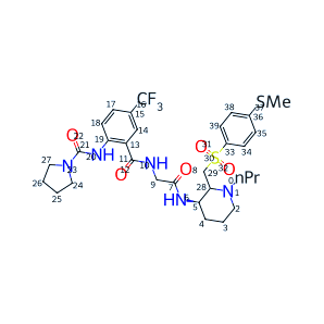 CCCN1CCC[C@@H](NC(=O)CNC(=O)c2cc(C(F)(F)F)ccc2NC(=O)N2CCCC2)C1CS(=O)(=O)c1ccc(SC)cc1